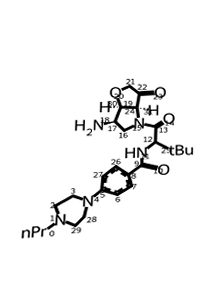 CCCN1CCN(c2ccc(C(=O)NC(C(=O)N3C[C@@H](N)[C@H]4OCC(=O)[C@H]43)C(C)(C)C)cc2)CC1